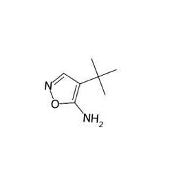 CC(C)(C)c1cnoc1N